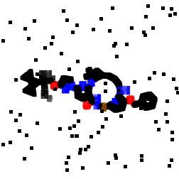 BC(B)(COc1ccn(-c2ccc3c(n2)N2CC(CCCNc4nc(ccc4OCc4ccccc4)SNC3=O)CC2(C)C)n1)C1C2(CC2)C12CC2